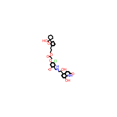 COc1cc(OCC(=O)OCCCc2cccc(C3(C(=O)O)CCCCC3)c2)c(Cl)cc1CNCC(O)c1ccc(O)c2[nH]c(=O)ccc12